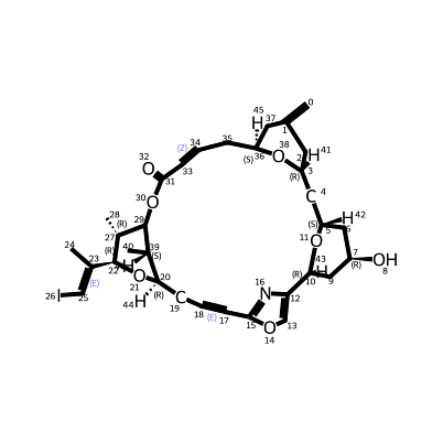 C=C1C[C@@H]2C[C@@H]3C[C@@H](O)C[C@@H](O3)c3coc(n3)/C=C/C[C@H]3O[C@@H](/C(C)=C/I)[C@H](C)C(OC(=O)/C=C\C[C@@H](C1)O2)[C@H]3C